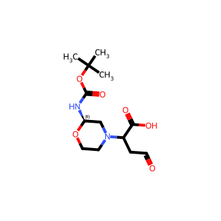 CC(C)(C)OC(=O)N[C@H]1CN(C(CC=O)C(=O)O)CCO1